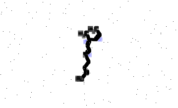 C\C=C/C(C)=C\C=N\CCOC(C)CC